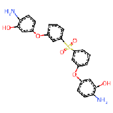 Nc1ccc(Oc2cccc(S(=O)(=O)c3cccc(Oc4ccc(N)c(O)c4)c3)c2)cc1O